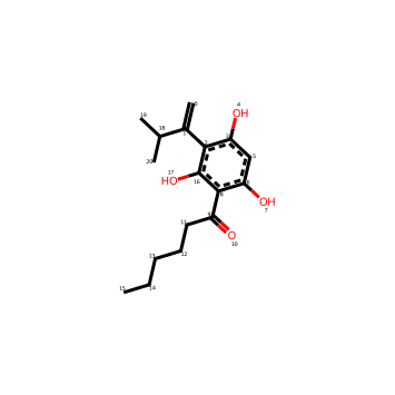 C=C(c1c(O)cc(O)c(C(=O)CCCCC)c1O)C(C)C